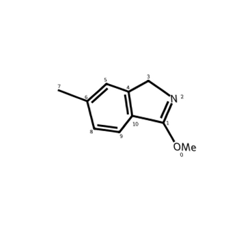 COC1=NCc2cc(C)ccc21